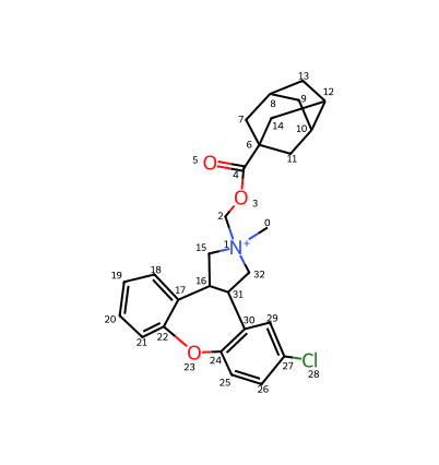 C[N+]1(COC(=O)C23CC4CC(C2)C(C4)C3)CC2c3ccccc3Oc3ccc(Cl)cc3C2C1